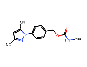 CC(C)(C)NC(=O)OCc1ccc(-n2nc(C#N)cc2C#N)cc1